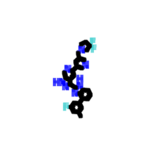 Cc1cc(F)cc(-c2cccc3[nH]c(-c4n[nH]c5cnc(-c6cncc(CN7CCC(F)(F)C7)c6)cc45)nc23)c1